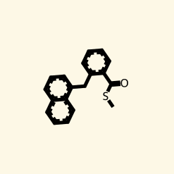 CSC(=O)c1ccccc1Cc1cccc2ccccc12